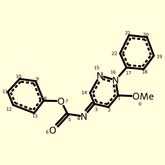 COc1cc(=NC(=O)Oc2ccccc2)cnn1-c1ccccc1